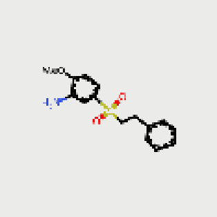 COc1ccc(S(=O)(=O)CCc2ccccc2)cc1N